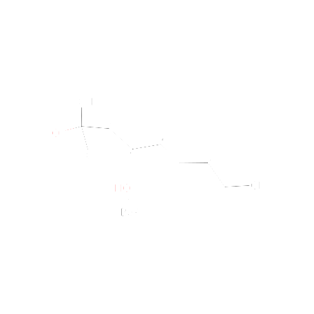 CCCCCCCC(C)(C)[O-].[Ba+2].[OH-]